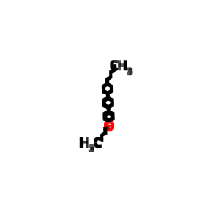 CCCCCOc1ccc(C2CCC(C3CCC(CCCCC)CC3)CC2)cc1